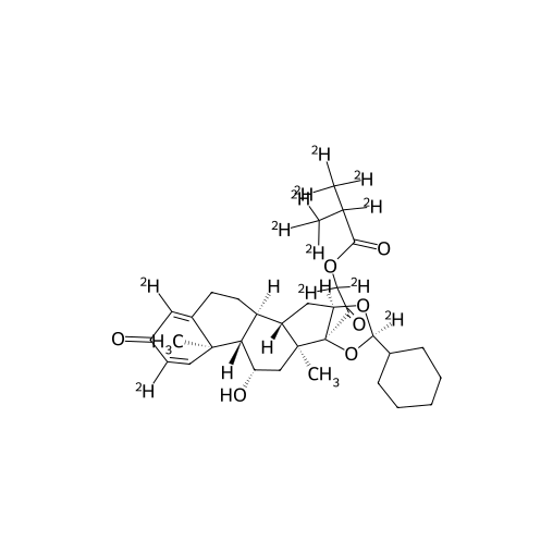 [2H]C1=C[C@@]2(C)C(=C([2H])C1=O)CC[C@@H]1[C@@H]2[C@@H](O)C[C@@]2(C)[C@H]1C[C@H]1O[C@@]([2H])(C3CCCCC3)O[C@]12C(=O)C([2H])([2H])OC(=O)C([2H])(C([2H])([2H])[2H])C([2H])([2H])[2H]